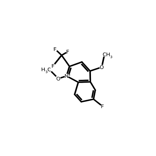 COc1cc(C(F)(F)F)[n+](OC)c2ccc(F)cc12